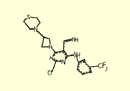 N=Cc1c(Nc2cccc(C(F)(F)F)c2)nc(Cl)nc1N1CC(N2CCSCC2)C1